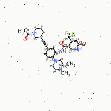 CC(=O)N1CCCC(C#Cc2ccc(N3CCN(C)[C@@H](C)C3)c(NC(=O)c3c[nH]c(=O)cc3C(F)(F)F)c2)C1